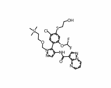 C[Si](C)(C)CCOCn1ncc(NC(=O)c2cnn3cccnc23)c1-c1cc(Cl)c(SCCO)cc1OC(F)F